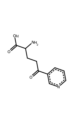 NC(CCC(=O)c1cccnc1)C(=O)O